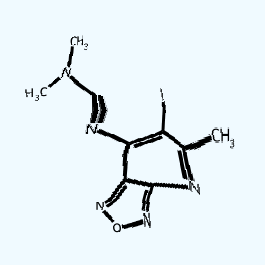 Cc1nc2nonc2c(N=CN(C)C)c1I